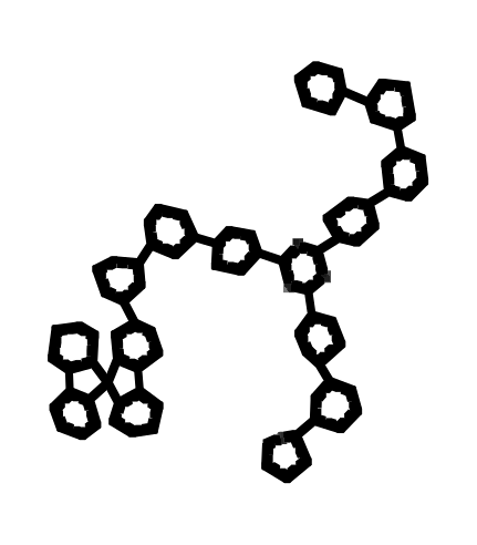 c1ccc(-c2cccc(-c3ccc(-c4nc(-c5ccc(-c6cccc(-c7cccc(-c8ccccc8)c7)c6)cc5)nc(-c5ccc(-c6cccc(-c7cccc(-c8ccc9c(c8)C8(c%10ccccc%10-c%10ccccc%108)c8ccccc8-9)c7)c6)cc5)n4)cc3)c2)cc1